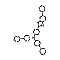 c1ccc(-c2ccc(N(c3ccc(-c4ccccc4)cc3)c3ccc(-n4nc5ccc(-c6ccccc6)cc5n4)cc3)cc2)cc1